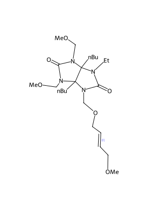 CCCCC12N(CC)C(=O)N(COC/C=C/COC)C1(CCCC)N(COC)C(=O)N2COC